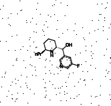 CCC[C@H]1CCC[C@H](C(O)c2cncc(F)c2)N1